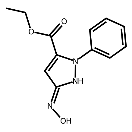 CCOC(=O)c1c/c(=N/O)[nH]n1-c1ccccc1